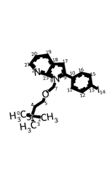 C[Si](C)(C)CCOCn1c(-c2ccc(I)cc2)cc2cccnc21